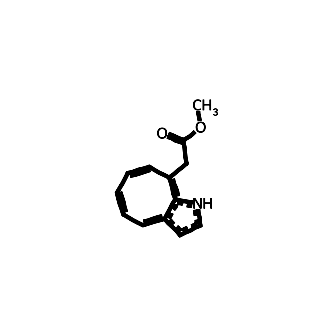 COC(=O)CC1=c2\[nH]cc\c2=C\C=C/C=C\1